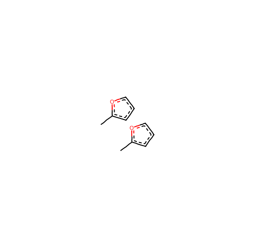 Cc1ccco1.Cc1ccco1